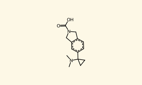 CN(C)C1(c2ccc3c(c2)CN(C(=O)O)C3)CC1